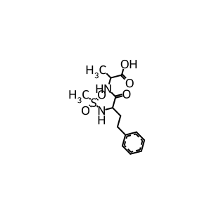 CC(NC(=O)C(CCc1ccccc1)NS(C)(=O)=O)C(=O)O